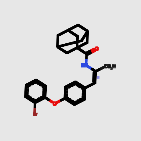 O=C(O)/C(=C/c1ccc(Oc2ccccc2Br)cc1)NC(=O)C12CC3CC(CC(C3)C1)C2